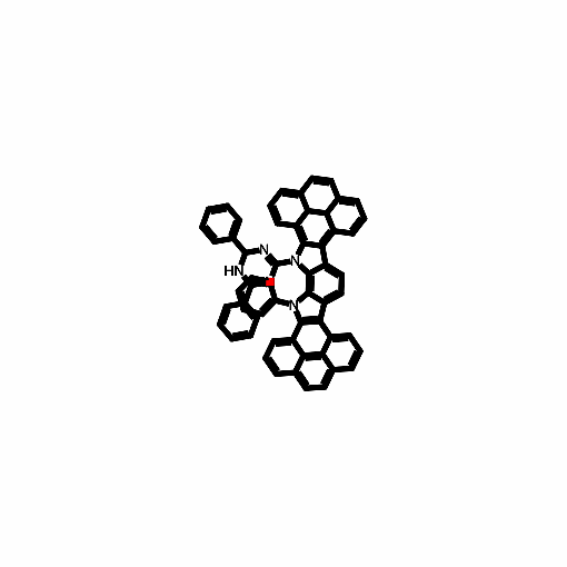 C1=CC2=c3c(n(C4=NC(c5ccccc5)NC(c5ccccc5)=N4)c4c3ccc3c5c6cccc7ccc8cccc(c8c76)c5n(-c5ccccc5)c34)=C3C=CC=C4C=CC(=C1)C2C43